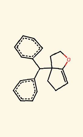 C1=C2OCCC2(C(c2ccccc2)c2ccccc2)CC1